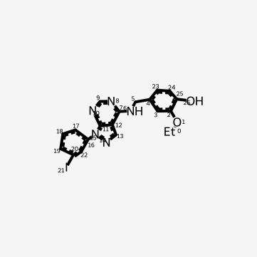 CCOc1cc(CNc2ncnc3c2cnn3-c2cccc(I)c2)ccc1O